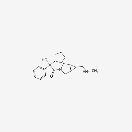 CNCC1C2CN(C(=O)C(O)(c3ccccc3)C3CCCC3)CC12